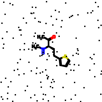 CN[C@H](CCc1cccs1)C(C)=O